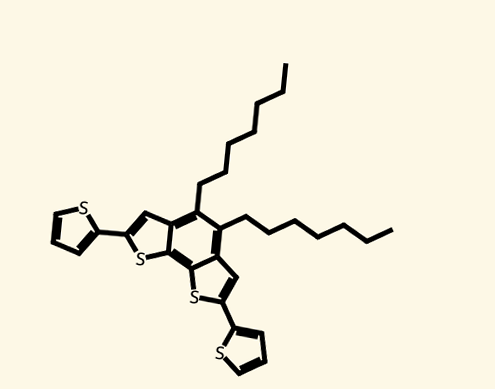 CCCCCCCc1c(CCCCCCC)c2cc(-c3cccs3)sc2c2sc(-c3cccs3)cc12